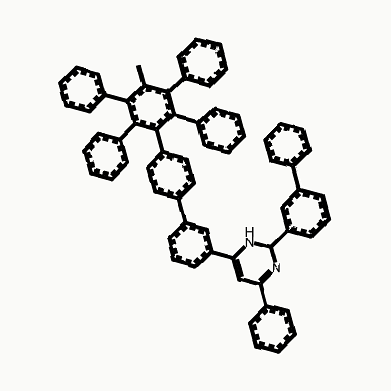 Cc1c(-c2ccccc2)c(-c2ccccc2)c(-c2ccc(-c3cccc(C4=CC(c5ccccc5)=NC(c5cccc(-c6ccccc6)c5)N4)c3)cc2)c(-c2ccccc2)c1-c1ccccc1